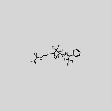 C=C(C)C(=O)OCCOC(=O)C(F)(F)S(=O)(=O)O/N=C(/c1ccccc1)C(F)(F)F